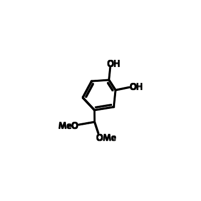 COC(OC)c1ccc(O)c(O)c1